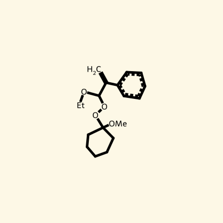 C=C(c1ccccc1)C(OCC)OOC1(OC)CCCCC1